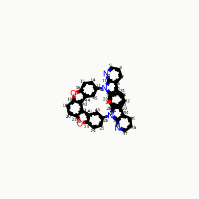 c1ccc2c(c1)c1cccnc1n2-c1ccc2oc3ccc4oc5ccc(-n6c7ccccc7c7cccnc76)cc5c4c3c2c1